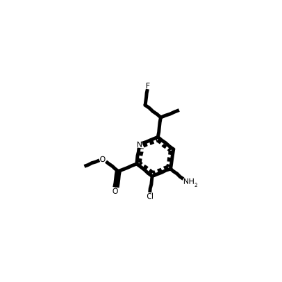 COC(=O)c1nc(C(C)CF)cc(N)c1Cl